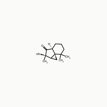 CCC[C@@]1(C)C(=O)[C@H]2CCCC(C)(C)[C@@]23CC13